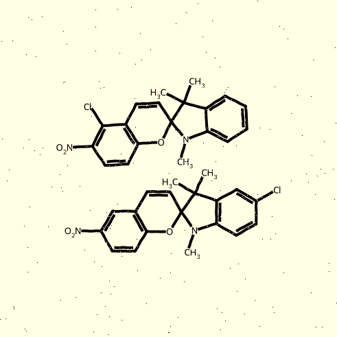 CN1c2ccc(Cl)cc2C(C)(C)C12C=Cc1cc([N+](=O)[O-])ccc1O2.CN1c2ccccc2C(C)(C)C12C=Cc1c(ccc([N+](=O)[O-])c1Cl)O2